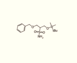 CC(C)(C)[Si](C)(C)OCC(COCc1ccccc1)S(N)(=O)=O